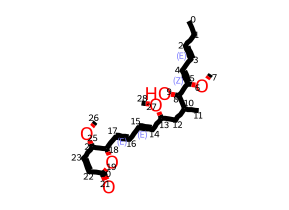 CC/C=C/C=C(\OC)C(O)C(C)CC(/C=C/C=C/C1OC(=O)C=CC1OC)OC